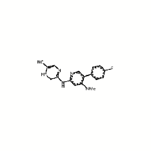 CNc1cc(NC2=NC=C(C#N)PC2)ncc1-c1ccc(F)cc1